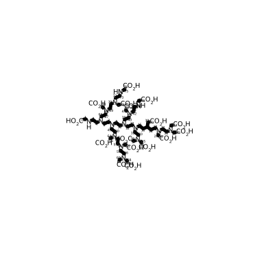 O=C(O)CNCCN(CCN(CCN(CCN(CCC(CCN(CCN(CC(=O)O)CC(=O)O)CC(=O)O)CC(=O)O)CCN(CC(=O)O)CC(=O)O)CCN(CCNCC(=O)O)CC(=O)O)CCN(CCN(CCN(CC(=O)O)CC(=O)O)CC(=O)O)CC(=O)O)CCN(CCN(CCNCC(=O)O)CC(=O)O)CC(=O)O